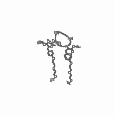 CCOCCOCCOc1ccc(CC(C(=O)OC(C)(C)C)N2CCNCCNCCNCC2)nc1.CCOCCOCCOc1ccc(CC(OS(C)(=O)=O)C(=O)OC(C)(C)C)nc1